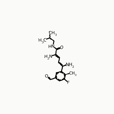 Cc1c(F)cc(C=O)cc1/C(N)=C/C=C(\N)C(=O)NCC(C)C